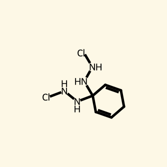 ClNNC1(NNCl)C=CCC=C1